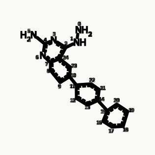 NNc1nc(N)nc2ccc(-c3ccc(-c4ccccc4)cc3)cc12